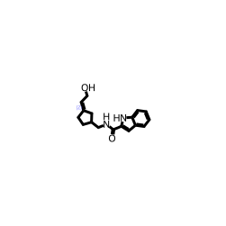 O=C(NCC1CC/C(=C/CO)C1)c1cc2ccccc2[nH]1